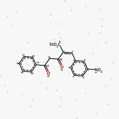 CCOC(=O)/C(=C/c1cccc([N+](=O)[O-])c1)C(=O)CC(=O)c1ccccc1